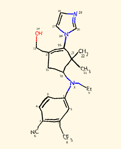 CCN(c1ccc(C#N)c(C(F)(F)F)c1)C1CC(CO)=C(n2ccnc2)C1(C)C